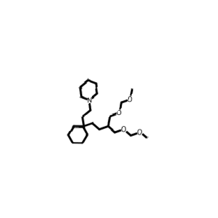 COCOCC(CCC1(CCN2CC[CH]CC2)CCCCC1)COCOC